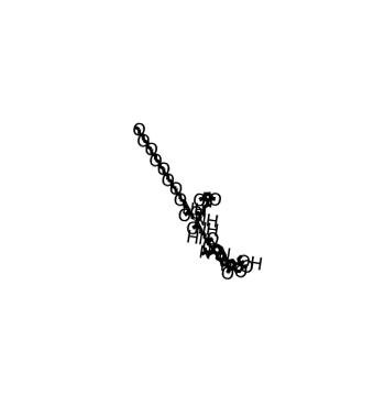 CCC1(O)C(=O)OCc2c1cc1n(c2=O)Cc2cc3c(CN(C)C)c(OC(=O)NCCNC(=O)[C@H](CCC(=O)NCCOCCOCCOCCOCCOCCOCCOCCOC)NC(=O)CCCN4C(=O)C=CC4=O)ccc3nc2-1